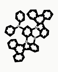 c1ccc(N(c2ccccc2)c2cc3c4c(c2)-n2c5c(cccc5c5c6ccccc6c6ccccc6c52)B4c2cccc4c5c6ccccc6c6ccccc6c5n-3c24)cc1